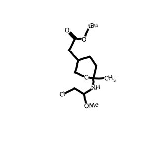 COC(CCl)NC1(C)CCC(CC(=O)OC(C)(C)C)CC1